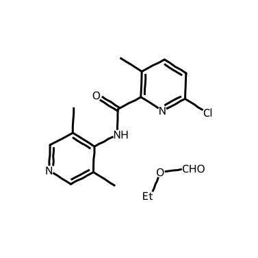 CCOC=O.Cc1ccc(Cl)nc1C(=O)Nc1c(C)cncc1C